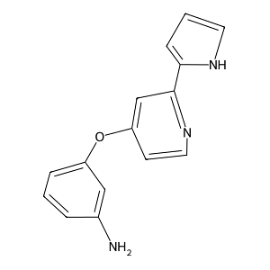 Nc1cccc(Oc2ccnc(-c3ccc[nH]3)c2)c1